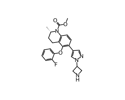 COC(=O)N1c2ccc(-c3cnn(C4CNC4)c3)c(Oc3ccccc3F)c2CC[C@@H]1C